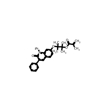 C=C(C)C(=O)OC(C)(C)C(C)(C)Oc1ccc2cc(-c3ccccc3)c(=O)n(C(C)C)c2c1